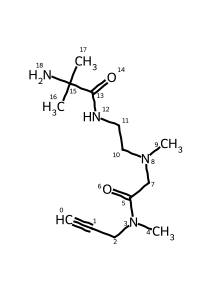 C#CCN(C)C(=O)CN(C)CCNC(=O)C(C)(C)N